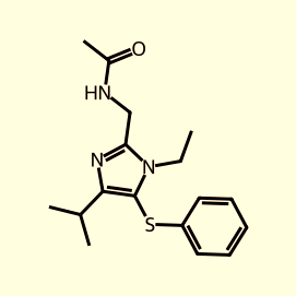 CCn1c(CNC(C)=O)nc(C(C)C)c1Sc1ccccc1